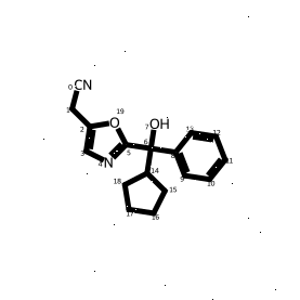 N#CCc1cnc(C(O)(c2ccccc2)C2CCCC2)o1